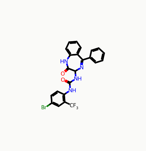 O=C(Nc1ccc(Br)cc1C(F)(F)F)NC1N=C(c2ccccc2)c2ccccc2NC1=O